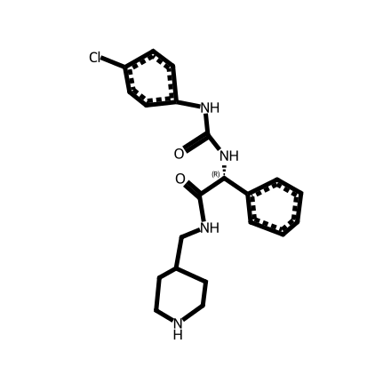 O=C(Nc1ccc(Cl)cc1)N[C@@H](C(=O)NCC1CCNCC1)c1ccccc1